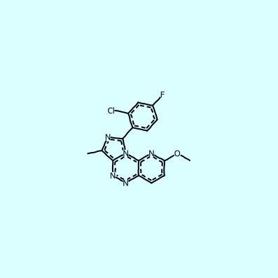 COc1ccc2nnc3c(C)nc(-c4ccc(F)cc4Cl)n3c2n1